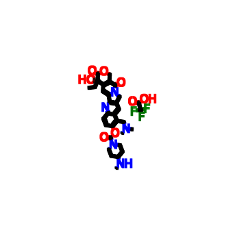 CC[C@@]1(O)C(=O)OCc2c1cc1n(c2=O)Cc2cc3c(CN(C)C)c(OC(=O)N4CCC(NC)CC4)ccc3nc2-1.O=C(O)C(F)(F)F